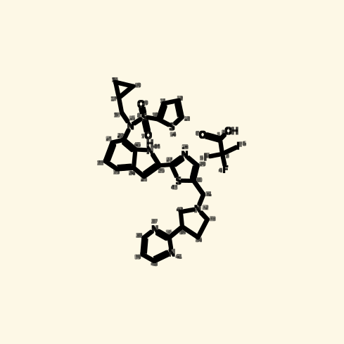 O=C(O)C(F)(F)F.O=S(=O)(c1cccs1)N(CC1CC1)c1cccc2cc(-c3ncc(CN4CCC(c5ncccn5)C4)s3)[nH]c12